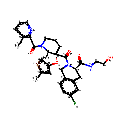 CCC[C@H]1N(C(=O)c2ncccc2C(F)(F)F)CCC[C@@]1(Oc1csc(C(F)(F)F)c1)C(=O)N1Cc2ccc(F)cc2C[C@@H]1C(=O)NCCO